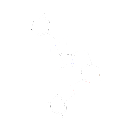 O=C(OCc1ccccc1)C1=C(CBr)C[S+]([O-])[C@@H]2C(NC(=O)c3ccccc3)C(=O)N12